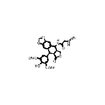 CCCNCC(=O)NC1c2cc3c(cc2C(c2cc(OC)c(O)c(OC)c2)C2C(=O)OCC12)OCO3